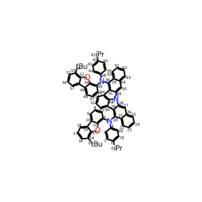 CC(C)c1ccc(N(c2cccc3c2oc2c(C(C)(C)C)cccc23)c2c3ccccc3cc3c2c2cccc4c5c(N(c6ccc(C(C)C)cc6)c6cccc7c6oc6c(C(C)(C)C)cccc67)c6ccccc6cc5n3c24)cc1